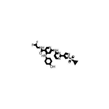 O=C(NCC(F)F)c1cnc(Nc2ccnc(-c3cnn(S(=O)(=O)C4CC4)c3)n2)cc1NC1CCC(O)CC1